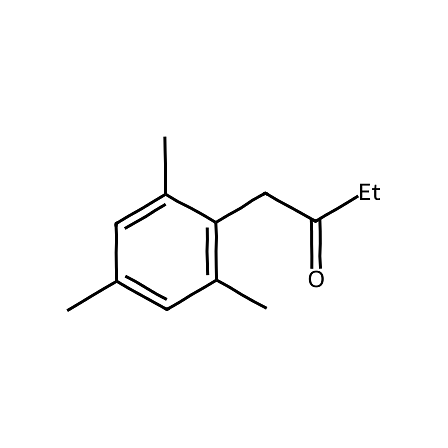 CCC(=O)Cc1c(C)cc(C)cc1C